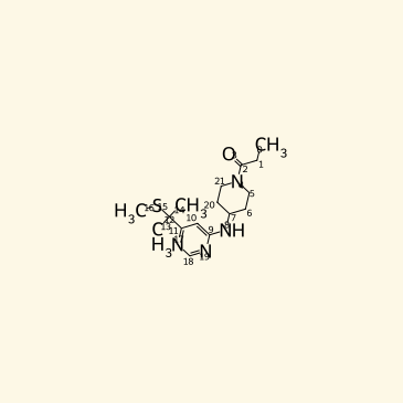 CCC(=O)N1CCC(Nc2cc(C(C)(C)SC)ncn2)CC1